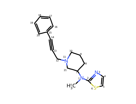 CN(c1nccs1)C1CCCN(CC#Cc2ccccc2)C1